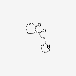 O=C1C=CCCCN1C(=O)C=Cc1ccccn1